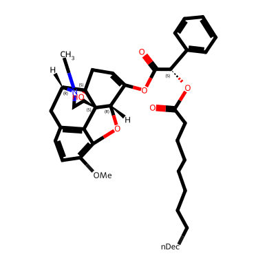 CCCCCCCCCCCCCCCCCC(=O)O[C@H](C(=O)OC1=CC[C@@]2(O)[C@H]3Cc4ccc(OC)c5c4[C@@]2(CCN3C)[C@H]1O5)c1ccccc1